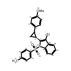 CCc1c([C@H]2CC2c2ccc(OC)cc2)n(S(=O)(=O)c2ccc(C)cc2)c2ccccc12